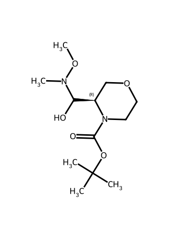 CON(C)C(O)[C@H]1COCCN1C(=O)OC(C)(C)C